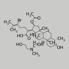 CC(=O)O[C@H]1C[C@@]2(C)[C@H](C[C@@H](O)[C@@H]3[C@@]4(C)CC[C@@H](O)[C@@H](C)C4CC[C@@]32C)C1=C(CCC(Br)=C(C)C)C(=O)O.CN(C)CCO